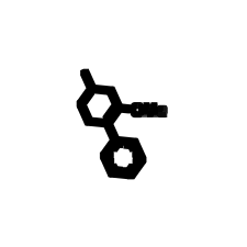 COC1=C(c2ccccc2)CCC(C)C1